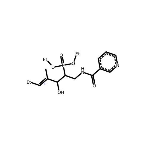 CC/C=C(\C)C(O)C(CNC(=O)c1cccnc1)P(=O)(OCC)OCC